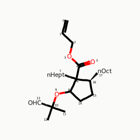 C=CCOC(=O)C1(CCCCCCC)C(OC(C)(C)C=O)CC[C@@H]1CCCCCCCC